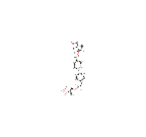 CCC1(COC(C)(C)Cc2ccc(-c3ccc(COC(C)(C)C4(CC)COC4)cc3)cc2)COC1